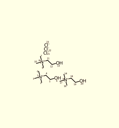 C[N+](C)(C)CCO.C[N+](C)(C)CCO.C[N+](C)(C)CCO.[Cl-].[Cl-].[Cl-]